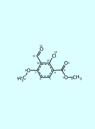 COC(=O)c1ccc(OC)c(C=O)c1Cl